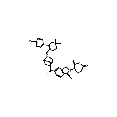 CC1(C)CCC(CN2CC3CCC2CN3C(=O)c2ccc3c(c2)CN(C2CCC(=O)NC2=O)C3=O)=C(c2ccc(Cl)cc2)C1